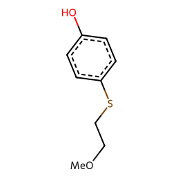 COCCSc1ccc(O)cc1